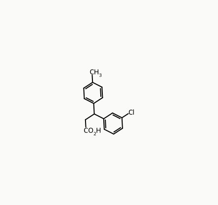 Cc1ccc(C(CC(=O)O)c2cccc(Cl)c2)cc1